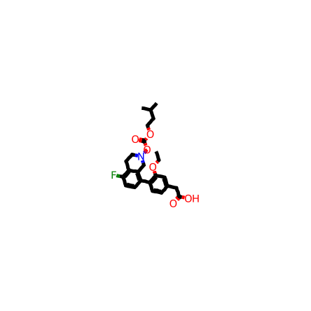 CCOc1cc(CC(=O)O)ccc1-c1ccc(F)c2c1CN(OC(=O)OCCC(C)C)CC2